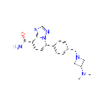 CN(C)C1CN(Cc2ccc(-c3ccc(C(N)=O)c4n[c]nn34)cc2)C1